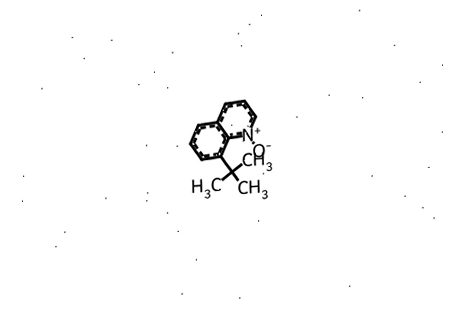 CC(C)(C)c1cccc2ccc[n+]([O-])c12